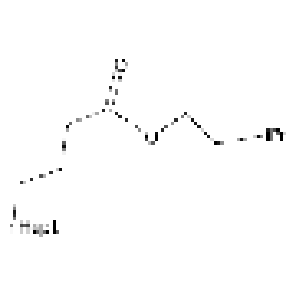 CCCCCCCCCCC(=O)OCCC(C)C